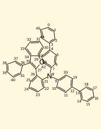 c1ccc(-c2ccc(N(c3ccc(-c4ccccc4)cc3)c3ccccc3-c3oc4ccccc4c3-c3ccccc3)cc2)cc1